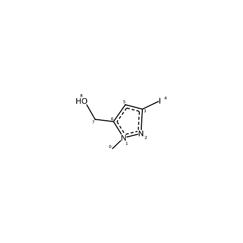 Cn1nc(I)cc1CO